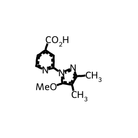 COc1c(C)c(C)nn1-c1cc(C(=O)O)ccn1